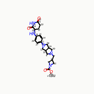 CC(C)(C)OC(=O)N1CC(CN2CC3CN(c4ccc(NC5CCC(=O)NC5=O)cc4)CC3C2)C1